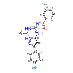 CC(C)CN/C(=N/C(=O)c1cccc(F)c1)Nc1cc(-c2ccc(F)cc2)n[nH]1